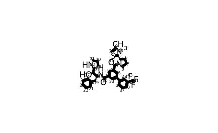 Cc1csc([C@H]2CCCN2C(=O)c2cc(C(=O)N[C@@H](Cc3ccccc3)[C@H](O)[C@H]3CCCN3)cc(-c3cccc(C(F)(F)F)c3)c2)n1